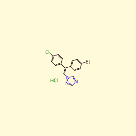 CCc1ccc(/C(=C\n2cncn2)c2ccc(Cl)cc2)cc1.Cl